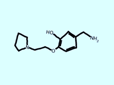 NCc1ccc(OCCN2CCCC2)c(O)c1